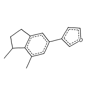 Cc1cc(-c2ccoc2)cc2c1C(C)CC2